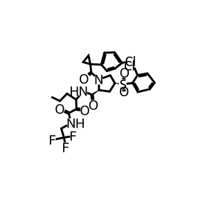 CCCC(NC(=O)[C@@H]1C[C@@H](S(=O)(=O)c2ccccc2Cl)CN1C(=O)C1(c2ccc(Cl)cc2)CC1)C(=O)C(=O)NCC(F)(F)F